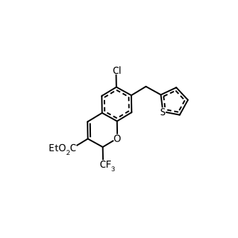 CCOC(=O)C1=Cc2cc(Cl)c(Cc3cccs3)cc2OC1C(F)(F)F